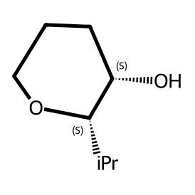 CC(C)[C@@H]1OCCC[C@@H]1O